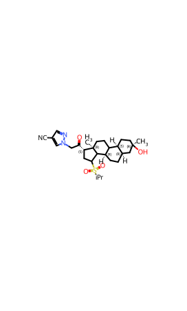 CC(C)S(=O)(=O)C1C[C@H](C(=O)Cn2cc(C#N)cn2)[C@@]2(C)CCC3[C@@H](CC[C@@H]4C[C@](C)(O)CC[C@H]34)C12